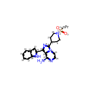 CCCS(=O)(=O)N1CCC(c2nc(-c3cc4ccccc4[nH]3)c3c(N)nccn23)CC1